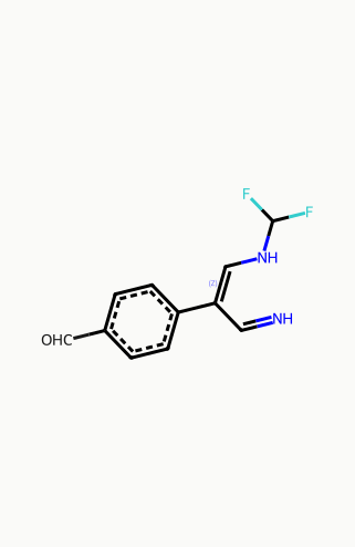 N=C/C(=C\NC(F)F)c1ccc(C=O)cc1